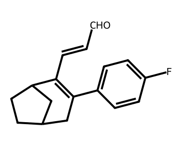 O=C/C=C/C1=C(c2ccc(F)cc2)CC2CCC1C2